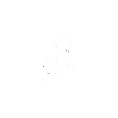 Clc1ccc(-c2ncccn2)c(Br)c1.[Pd]